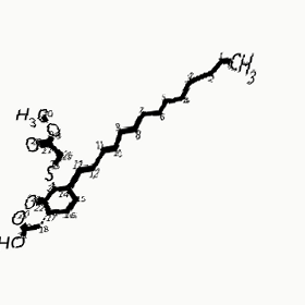 CCCCCCCCCCCCC/C=C1\CC[C@H](CC(=O)O)C(=O)[C@@H]1SCC(=O)OC